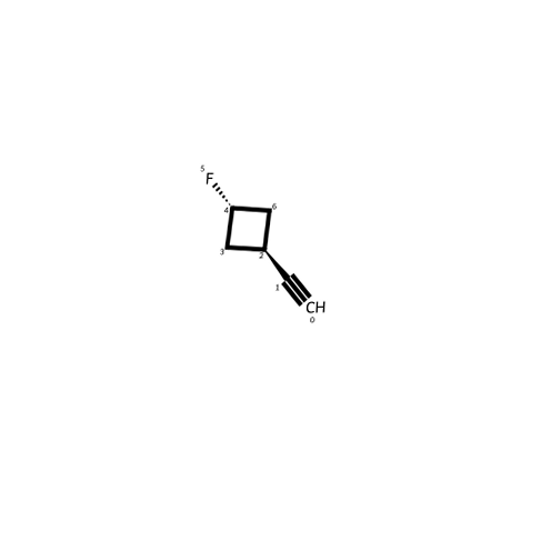 C#C[C@H]1C[C@H](F)C1